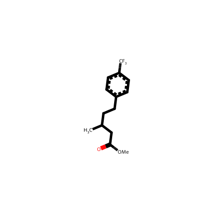 COC(=O)CC(C)CCc1ccc(C(F)(F)F)cc1